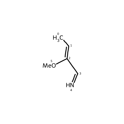 C/C=C(/C=N)OC